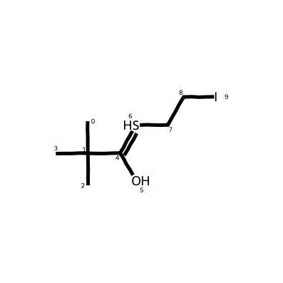 CC(C)(C)C(O)=[SH]CCI